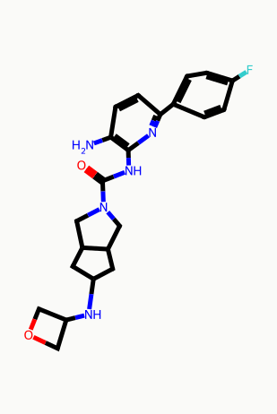 Nc1ccc(-c2ccc(F)cc2)nc1NC(=O)N1CC2CC(NC3COC3)CC2C1